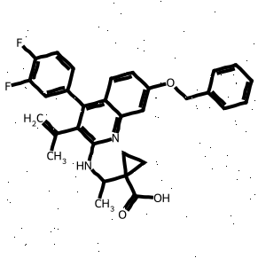 C=C(C)c1c(NC(C)C2(C(=O)O)CC2)nc2cc(OCc3ccccc3)ccc2c1-c1ccc(F)c(F)c1